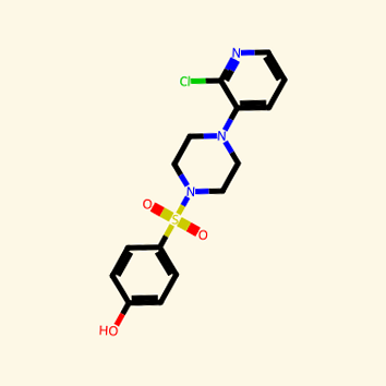 O=S(=O)(c1ccc(O)cc1)N1CCN(c2cccnc2Cl)CC1